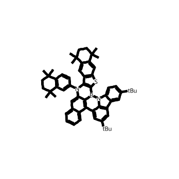 CC(C)(C)c1ccc2c(c1)c1cc(C(C)(C)C)cc3c1n2B1c2sc4cc5c(cc4c2N(c2ccc4c(c2)C(C)(C)CCC4(C)C)c2cc4ccccc4c-3c21)C(C)(C)CCC5(C)C